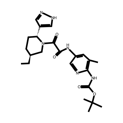 CC[C@H]1CC[C@H](c2cn[nH]c2)N(C(=O)C(=O)Nc2cnc(NC(=O)OC(C)(C)C)c(C)c2)C1